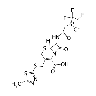 Cc1nnc(SCC2=C(C(=O)O)N3C(=O)C(NC(=O)C[S+]([O-])C(F)(F)CF)[C@@H]3SC2)s1